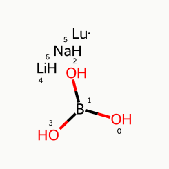 OB(O)O.[LiH].[Lu].[NaH]